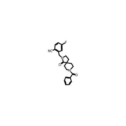 N#Cc1ccc(F)cc1CN1CCC2(CCN(C(=O)c3ccccc3)CC2)C1=O